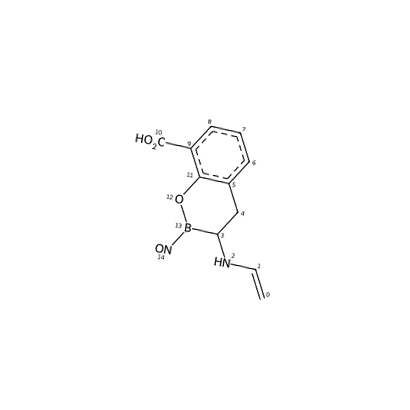 C=CNC1Cc2cccc(C(=O)O)c2OB1N=O